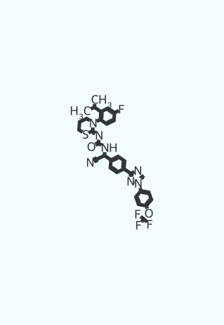 CC(C)c1cc(F)ccc1N1CCCS/C1=N\C(=O)NC(C#N)c1ccc(-c2ncn(-c3ccc(OC(F)(F)F)cc3)n2)cc1